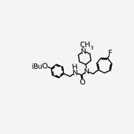 CC(C)COc1ccc(CNC(=O)N(CC2=CC=C(F)C=CC2)C2CCN(C)CC2)cc1